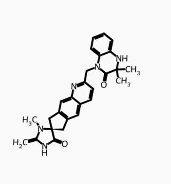 C=C1NC(=O)[C@]2(Cc3cc4ccc(CN5C(=O)C(C)(C)Nc6ccccc65)nc4cc3C2)N1C